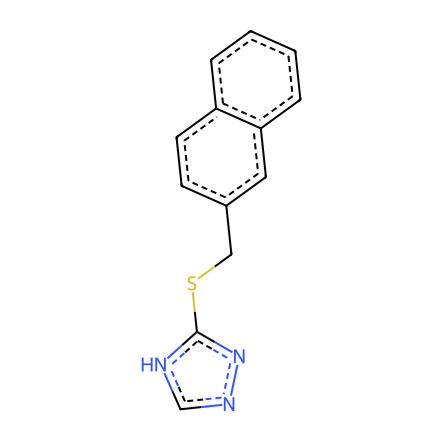 c1ccc2cc(CSc3nnc[nH]3)ccc2c1